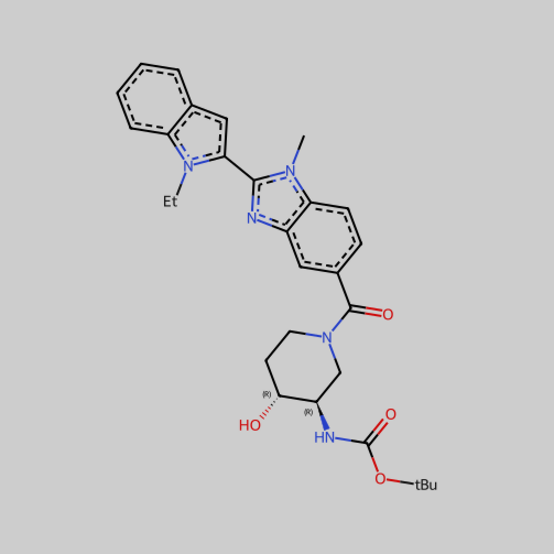 CCn1c(-c2nc3cc(C(=O)N4CC[C@@H](O)[C@H](NC(=O)OC(C)(C)C)C4)ccc3n2C)cc2ccccc21